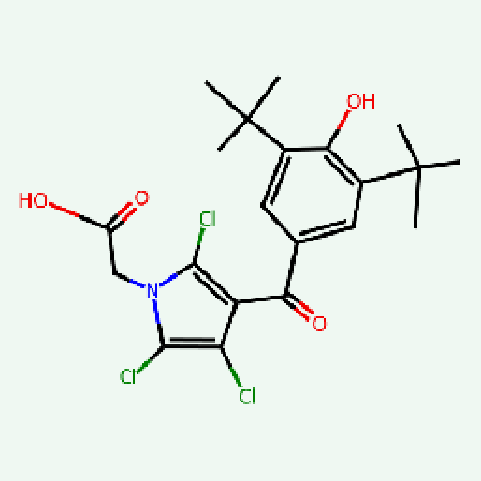 CC(C)(C)c1cc(C(=O)c2c(Cl)c(Cl)n(CC(=O)O)c2Cl)cc(C(C)(C)C)c1O